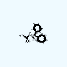 CCCC(O)O[Si](c1ccccc1)(c1ccccc1)C(C)(C)C